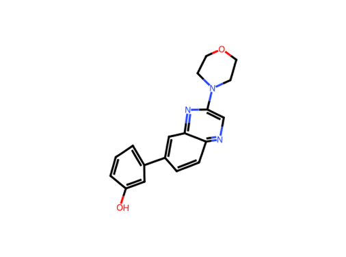 Oc1cccc(-c2ccc3ncc(N4CCOCC4)nc3c2)c1